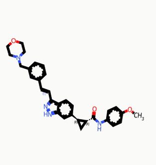 COc1ccc(NC(=O)[C@@H]2C[C@H]2c2ccc3c(/C=C/c4cccc(CN5CCOCC5)c4)n[nH]c3c2)cc1